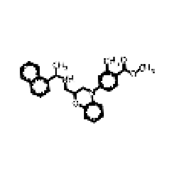 COC(=O)c1ccc(N2CC(CN[C@H](C)c3cccc4ccccc34)Oc3ccccc32)cc1C